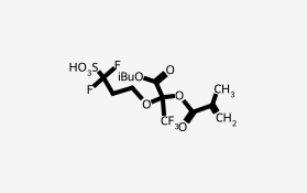 C=C(C)C(=O)OC(OCCC(F)(F)S(=O)(=O)O)(C(=O)OCC(C)C)C(F)(F)F